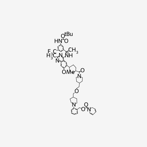 COc1cc2nc(C)nc(N[C@H](C)c3cc(NC(=O)OC(C)(C)C)cc(C(F)(F)F)c3)c2cc1C1CCC(C(=O)N2CCC(CCOCC3CCN(c4ccccc4COC(=O)N4C=CC=CC4)CC3)CC2)CC1